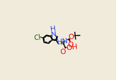 CC(C)(C)OC(=O)N[C@@H](Cc1c[nH]c2cc(Cl)ccc12)C(=O)O